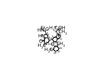 CCNC(=O)c1cc2c(-c3cc4c(cnn4CC(C)(C)O)cc3Oc3c(C)cccc3C)cn(C)c(=O)c2[nH]1